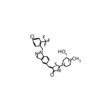 CN1CCN(C2=NC(=O)/C(=C/c3ccc4c(cnn4Cc4ccc(Cl)cc4C(F)(F)F)c3)S2)C[C@@H]1CO